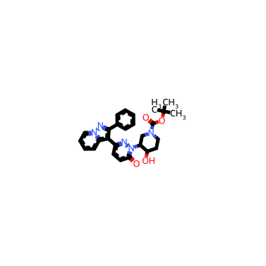 CC(C)(C)OC(=O)N1CCC(O)C(n2nc(-c3c(-c4ccccc4)nn4ccccc34)ccc2=O)C1